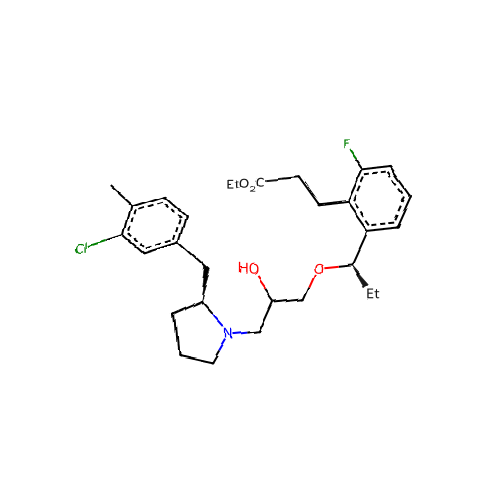 CCOC(=O)CCc1c(F)cccc1[C@@H](CC)OCC(O)CN1CCC[C@H]1Cc1ccc(C)c(Cl)c1